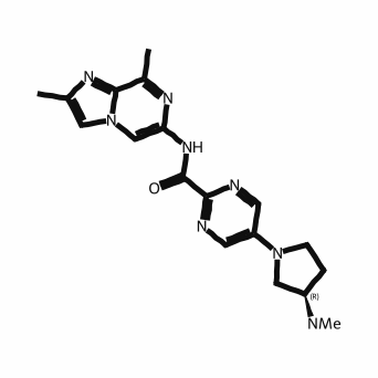 CN[C@@H]1CCN(c2cnc(C(=O)Nc3cn4cc(C)nc4c(C)n3)nc2)C1